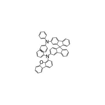 c1ccc(N(c2ccccc2)c2ccc3c(c2)C2(c4ccccc4-c4cc(N(c5ccccc5)c5cccc6c5oc5ccccc56)ccc42)c2ccccc2-3)cc1